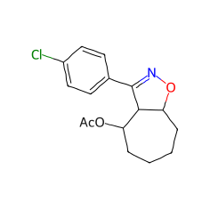 CC(=O)OC1CCCCC2ON=C(c3ccc(Cl)cc3)C21